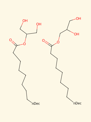 CCCCCCCCCCCCCCCCCC(=O)OC(CO)CO.CCCCCCCCCCCCCCCCCC(=O)OCC(O)CO